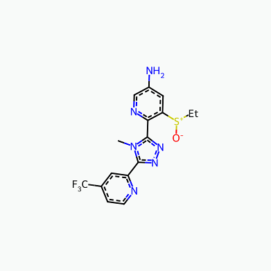 CC[S+]([O-])c1cc(N)cnc1-c1nnc(-c2cc(C(F)(F)F)ccn2)n1C